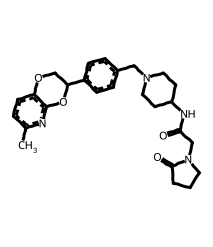 Cc1ccc2c(n1)OC(c1ccc(CN3CCC(NC(=O)CN4CCCC4=O)CC3)cc1)CO2